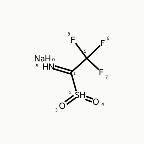 N=C([SH](=O)=O)C(F)(F)F.[NaH]